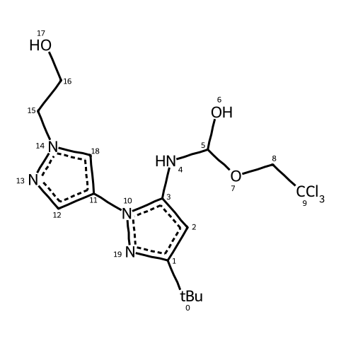 CC(C)(C)c1cc(NC(O)OCC(Cl)(Cl)Cl)n(-c2cnn(CCO)c2)n1